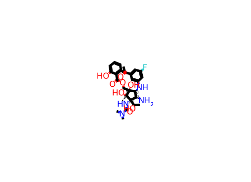 CC(=O)c1cc(F)cc(N[C@H]2[C@H](N)[C@@](NC(=O)N(C)C)(C(C)O)[C@@](C)(O)[C@@]2(O)COC(=O)c2c(C)cccc2O)c1